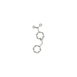 O=C([O-])c1cc[n+](Cc2ccccc2)cc1